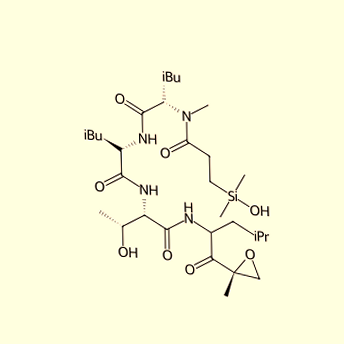 CC[C@H](C)[C@H](NC(=O)[C@H]([C@@H](C)CC)N(C)C(=O)CC[Si](C)(C)O)C(=O)N[C@H](C(=O)NC(CC(C)C)C(=O)[C@@]1(C)CO1)[C@@H](C)O